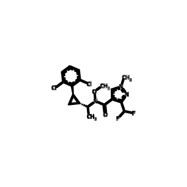 CON(C(=O)c1cn(C)nc1C(F)F)C(C)[C@@H]1C[C@H]1c1c(Cl)cccc1Cl